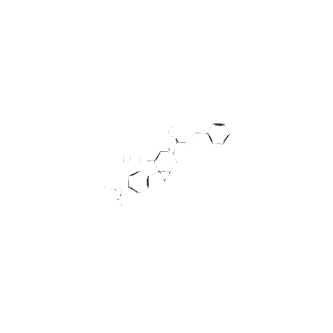 CC1=CN(C(=O)OCc2ccccc2)CC2CC12c1ccc([N+](=O)[O-])cc1